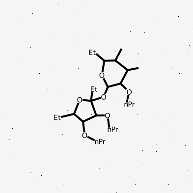 CCCOC1C(OC2(CC)OC(CC)C(OCCC)C2OCCC)OC(CC)C(C)C1C